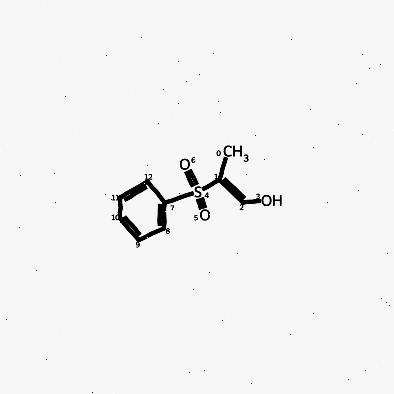 CC(=CO)S(=O)(=O)c1ccccc1